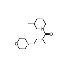 CC1CCCN(C(=O)C(C)CCN2CCOCC2)C1